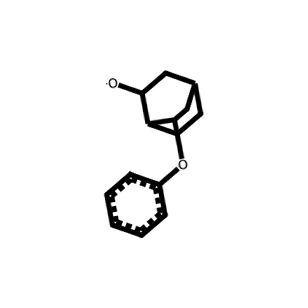 [O]C1CC2CCC1C(Oc1[c]cccc1)C2